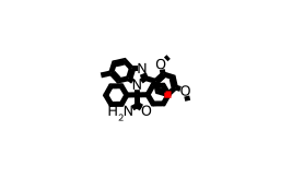 COc1ccc(-c2nc3ccc(C)cc3n2C(C(N)=O)(C2CCCCC2)C2CCCCC2)c(OC)c1